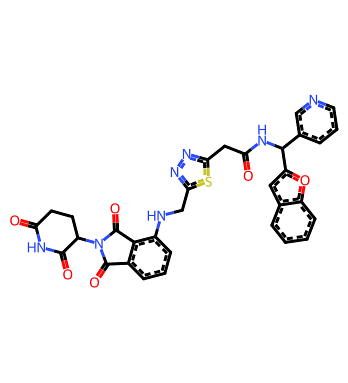 O=C1CCC(N2C(=O)c3cccc(NCc4nnc(CC(=O)NC(c5cccnc5)c5cc6ccccc6o5)s4)c3C2=O)C(=O)N1